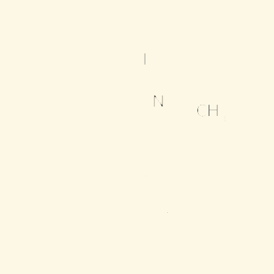 CN(I)C1=CC=CCC2=C1C2